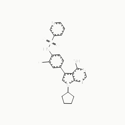 Nc1ncnc2c1c(-c1ccc(NS(=O)(=O)c3cccnc3)c(Cl)c1)cn2C1CCCC1